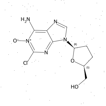 Nc1c2ncn([C@H]3CC[C@@H](CO)O3)c2nc(Cl)[n+]1[O-]